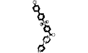 O=C(c1ccc(S(=O)(=O)c2ccc(-c3ccc(Cl)cc3)cc2)cc1)N1CCN(c2ccncc2)CC1